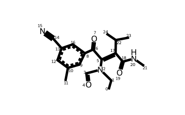 CCN(C=O)/C(C(=O)c1cc(C)cc(C#N)c1)=C(\C(=O)NC)C(C)C